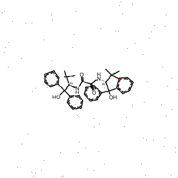 CC(C)(C)[C@@H](NC(=O)C(=O)N[C@H](C(C)(C)C)C(O)(c1ccccc1)c1ccccc1)C(O)(c1ccccc1)c1ccccc1